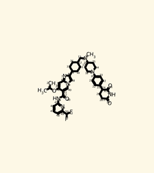 CC(C)Oc1cc2nc(C3CCC(CN(C)C4CCN(c5ccc(C6CCC(=O)NC6=O)cc5)CC4)CC3)cn2cc1C(=O)Nc1cccc(C(F)F)n1